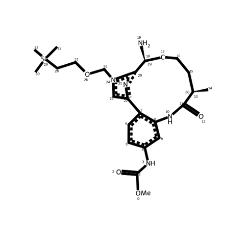 COC(=O)Nc1ccc2c(c1)NC(=O)[C@H](C)CCC[C@H](N)c1nc-2cn1COCC[Si](C)(C)C